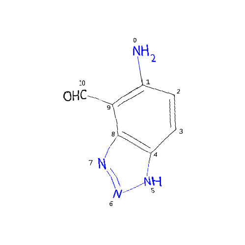 Nc1ccc2[nH]nnc2c1C=O